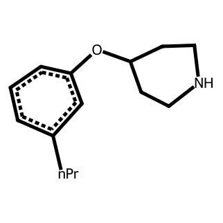 CCCc1cccc(OC2CCNCC2)c1